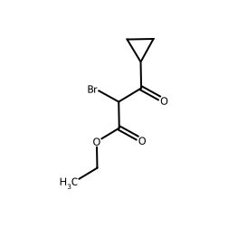 CCOC(=O)C(Br)C(=O)C1CC1